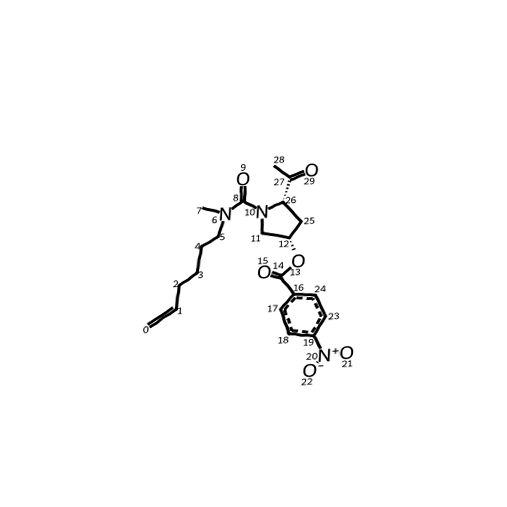 C=CCCCCN(C)C(=O)N1C[C@@H](OC(=O)c2ccc([N+](=O)[O-])cc2)C[C@H]1C(C)=O